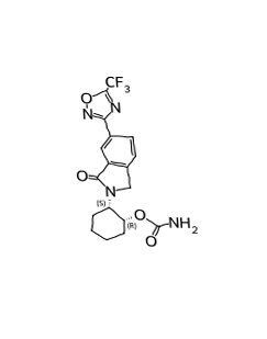 NC(=O)O[C@@H]1CCCC[C@@H]1N1Cc2ccc(-c3noc(C(F)(F)F)n3)cc2C1=O